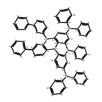 c1ccc(-c2cccc(N3c4cc(-c5ccccc5)ccc4B4c5ccc(N(c6ccccc6)c6ccccc6)cc5N(c5ccccc5)c5cc(N(c6ccccc6)c6ccccc6)cc3c54)c2)cc1